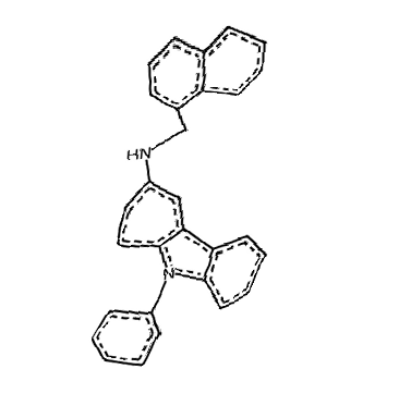 c1ccc(-n2c3ccccc3c3cc(NCc4cccc5ccccc45)ccc32)cc1